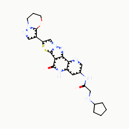 O=C(CNC1CCCC1)Nc1cnc2c(c1)[nH]c(=O)c1c2nn2cc(-c3cnn4c3OCCC4)sc12